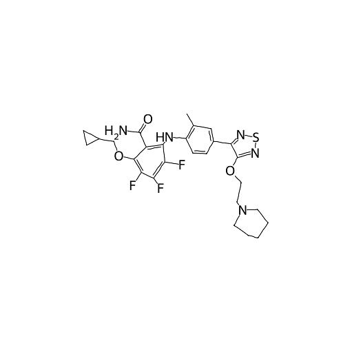 Cc1cc(-c2nsnc2OCCN2CCCCC2)ccc1Nc1c(F)c(F)c(F)c(OCC2CC2)c1C(N)=O